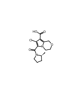 C[C@H]1CCCN1C(=O)c1c(Cl)c(C(=O)O)c2n1CCOC2